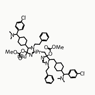 CCCCC1(OC(=O)OC)N=CN(CCc2ccccc2)C1C1CCC(C(c2ccc(Cl)cc2)N(C)C)CC1.COC(=O)OC1(CC(C)C)N=CN(CCc2ccccc2)C1CC1CCC(C(c2ccc(Cl)cc2)N(C)C)CC1